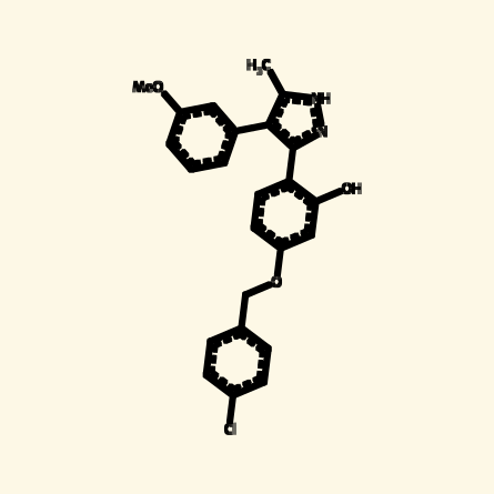 COc1cccc(-c2c(-c3ccc(OCc4ccc(Cl)cc4)cc3O)n[nH]c2C)c1